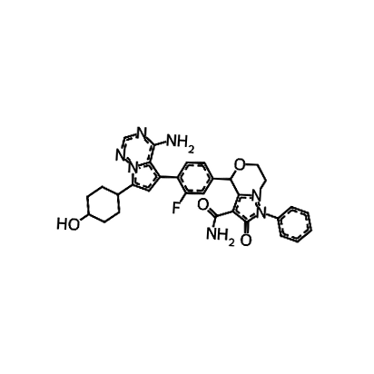 NC(=O)c1c2n(n(-c3ccccc3)c1=O)CCOC2c1ccc(-c2cc(C3CCC(O)CC3)n3ncnc(N)c23)c(F)c1